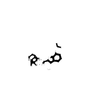 CC(C)Oc1cccc2cc(C(=O)N[C@@H]3C4CCN(CC4)C3(C)C)sc12.Cl